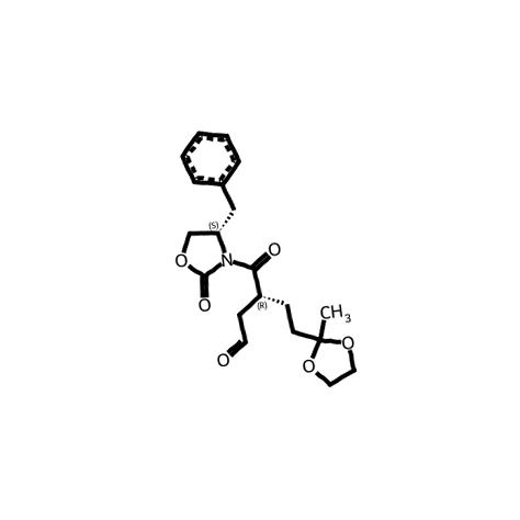 CC1(CC[C@H](CC=O)C(=O)N2C(=O)OC[C@@H]2Cc2ccccc2)OCCO1